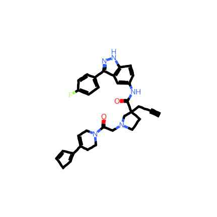 C#CCC1(C(=O)Nc2ccc3[nH]nc(-c4ccc(F)cc4)c3c2)CCN(CC(=O)N2CC=C(C3=CCC=C3)CC2)C1